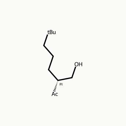 CC(=O)[C@@H](CO)CCCC(C)(C)C